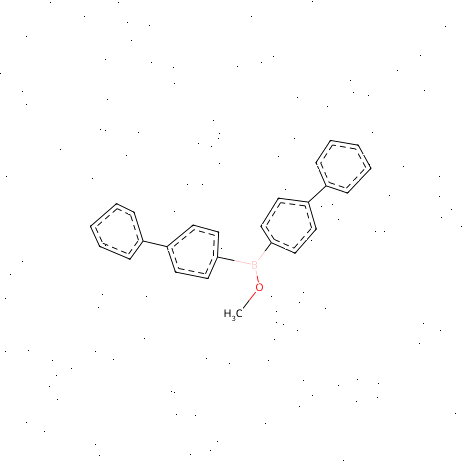 COB(c1ccc(-c2ccccc2)cc1)c1ccc(-c2ccccc2)cc1